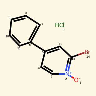 Cl.[O-][n+]1ccc(-c2ccccc2)cc1Br